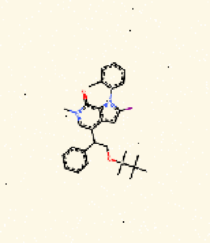 Cc1ccccc1-n1c(I)cc2c(C(CO[Si](C)(C)C(C)(C)C)c3ccccc3)cn(C)c(=O)c21